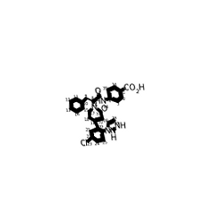 O=C(O)c1ccc(NC(=O)[C@H](Cc2ccccc2)N2CCC(c3cc(Cl)ccc3N3C=CNN3)=CC2=O)cc1